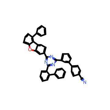 N#Cc1ccc(-c2cccc(-c3nc(-c4ccc5c(c4)oc4cccc(-c6ccccc6)c45)nc(-c4ccccc4-c4ccccc4)n3)c2)cc1